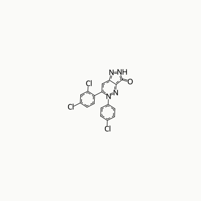 O=c1[nH]nc2cc(-c3ccc(Cl)cc3Cl)n(-c3ccc(Cl)cc3)nc1-2